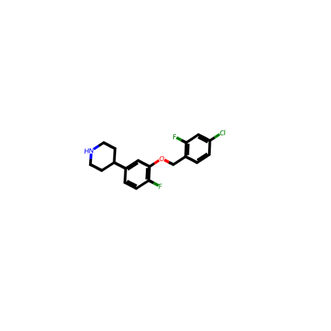 Fc1cc(Cl)ccc1COc1cc(C2CCNCC2)ccc1F